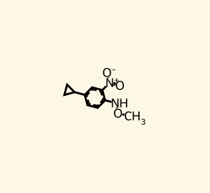 CONc1ccc(C2CC2)cc1[N+](=O)[O-]